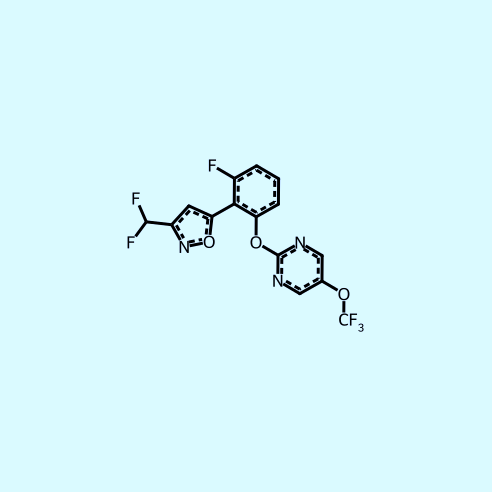 Fc1cccc(Oc2ncc(OC(F)(F)F)cn2)c1-c1cc(C(F)F)no1